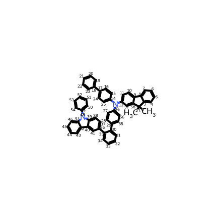 CC1(C)c2ccccc2-c2ccc(N(c3ccc(-c4ccccc4)cc3)c3ccc(-c4ccccc4-c4ccc5c(c4)c4ccccc4n5-c4ccccc4)cc3)cc21